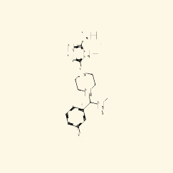 CN(C)C(c1cccc(Cl)c1)N1CCN(c2nnc(N)[nH]2)CC1